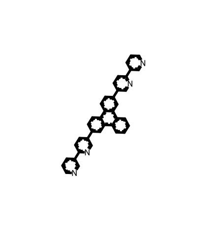 c1cncc(-c2ccc(-c3ccc4c5ccc(-c6ccc(-c7cccnc7)nc6)cc5c5ccccc5c4c3)cn2)c1